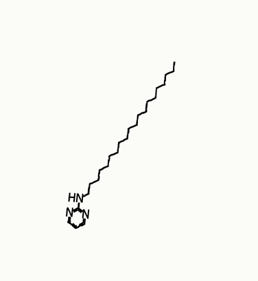 CCCCCCCCCCCCCCCCCCCCNc1ncccn1